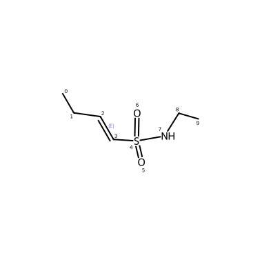 CC/C=C/S(=O)(=O)NCC